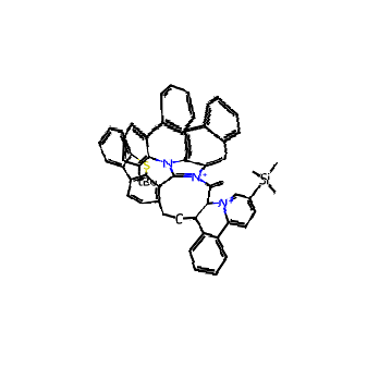 C=C1C2C(CCc3ccc4c(sc5ccccc54)c3-c3n(-c4c(-c5ccccc5)cccc4C(C)(C)C)c4cc5ccccc5cc4[n+]31)c1ccccc1-c1ccc([Si](C)(C)C)c[n+]12